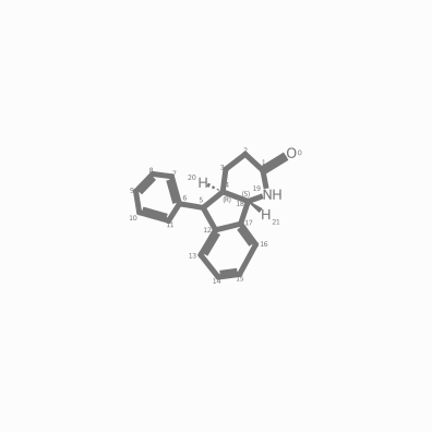 O=C1CC[C@@H]2C(c3ccccc3)c3ccccc3[C@H]2N1